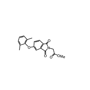 COC(=O)CN1C(=O)c2ccc(Oc3c(C)cccc3C)cc2C1=O